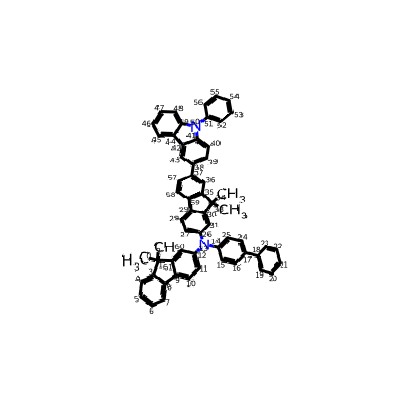 CC1(C)c2ccccc2-c2ccc(N(c3ccc(-c4ccccc4)cc3)c3ccc4c(c3)C(C)(C)c3cc(-c5ccc6c(c5)c5ccccc5n6-c5ccccc5)ccc3-4)cc21